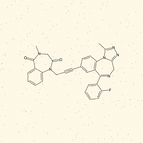 Cc1nnc2n1-c1ccc(C#CCN3C(=O)CN(C)C(=O)c4ccccc43)cc1C(c1ccccc1F)=NC2